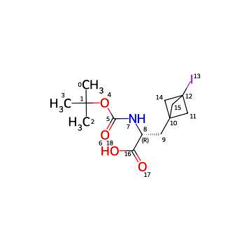 CC(C)(C)OC(=O)N[C@H](CC12CC(I)(C1)C2)C(=O)O